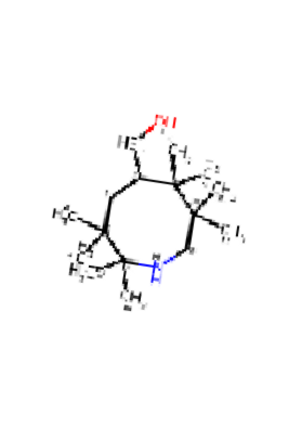 CC1(C)CC(BO)C(C)(C)C(C)(C)CNC1(C)C